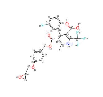 COC(=O)C1=C(C(F)(F)F)NC(C)=C(C(=O)OCc2ccc(OCC3CO3)cc2)C1c1cccc(F)c1